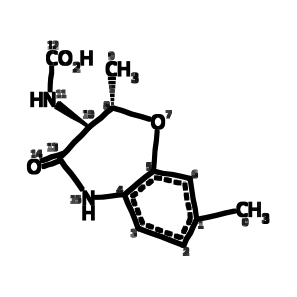 Cc1ccc2c(c1)O[C@@H](C)[C@H](NC(=O)O)C(=O)N2